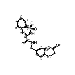 O=C1COc2ccc(CNC(=O)C3=Nc4ccccc4S(=O)(=O)N3)cc2N1